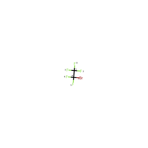 FC(F)(F)C(F)(F)Br